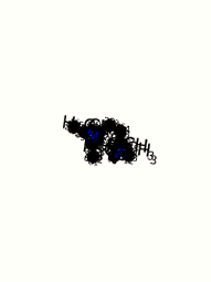 CC1(C)c2ccccc2N2c3ccccc3C(C)(C)c3cc(-c4cccc(-c5cccc(-c6cc7c8c(c6)C(C)(C)c6cc(-c9ccccc9)ccc6N8c6ccc(-c8ccccc8)cc6C7(C)C)c5)c4)cc1c32